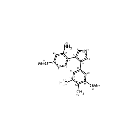 COc1ccc(-c2cnsc2-c2cc(C)c(C)c(OC)c2)c(N)c1